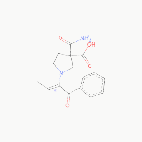 C/C=C(/C(=O)c1ccccc1)N1CCC(C(N)=O)(C(=O)O)C1